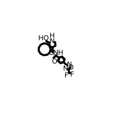 O=C(N[C@@H]1COc2cc(-c3noc(C(F)F)n3)ccc21)C1CCNC(CO)C12CCCCCCCCCC2